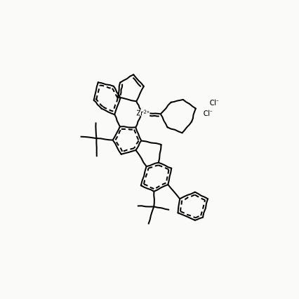 CC(C)(C)c1cc2c(cc1-c1ccccc1)Cc1c-2cc(C(C)(C)C)c(-c2ccccc2)[c]1[Zr+2](=[C]1CCCCCC1)[CH]1C=CC=C1.[Cl-].[Cl-]